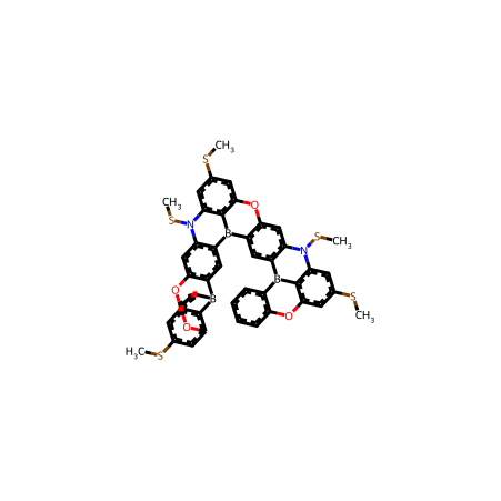 CSc1cc2c3c(c1)Oc1cc4c(cc1B3c1ccccc1O2)B1c2cc3c(cc2Oc2cc(SC)cc(c21)N4SC)N(SC)c1cc(SC)cc2c1B3c1ccccc1O2